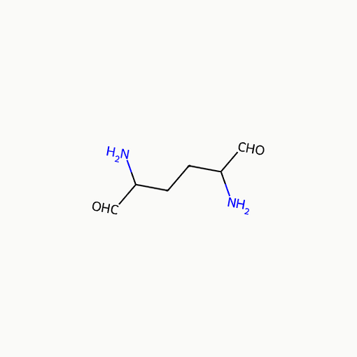 NC(C=O)CCC(N)C=O